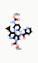 CC(C)(C)OC(=O)N[C@@H]1CCCN(c2c(C3CC3)cnc3c2c(NC(=O)c2cccnc2)cn3C(=O)OC(C)(C)C)C1